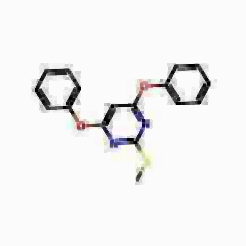 CSc1nc(Oc2ccccc2)cc(Oc2ccccc2)n1